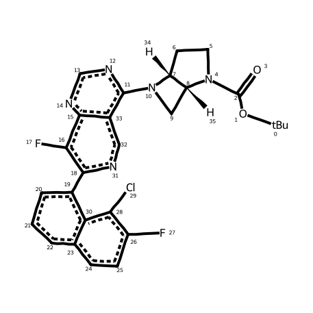 CC(C)(C)OC(=O)N1CC[C@@H]2[C@H]1CN2c1ncnc2c(F)c(-c3cccc4ccc(F)c(Cl)c34)ncc12